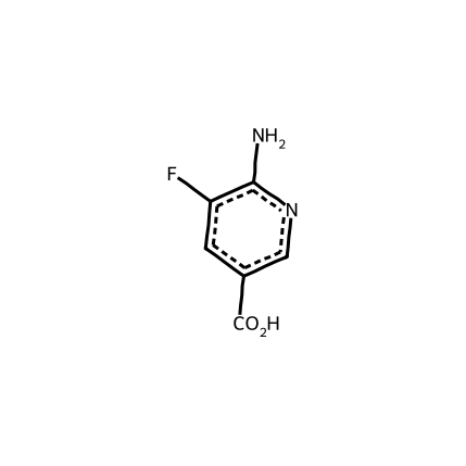 Nc1ncc(C(=O)O)cc1F